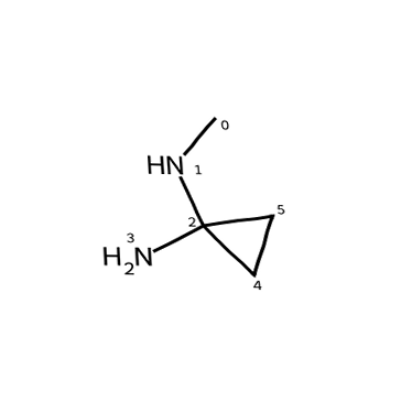 CNC1(N)CC1